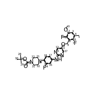 COc1cc(C)c(F)c(COc2cnc(Nc3ccc(N4CCN(C(=O)OC(C)(C)C)CC4)c(F)c3)nc2)c1F